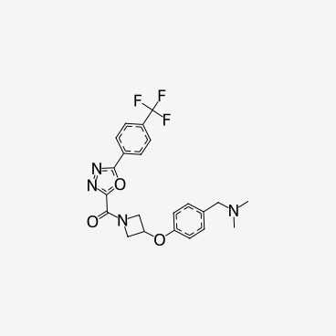 CN(C)Cc1ccc(OC2CN(C(=O)c3nnc(-c4ccc(C(F)(F)F)cc4)o3)C2)cc1